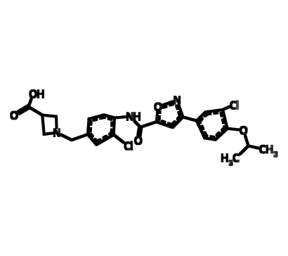 CC(C)Oc1ccc(-c2cc(C(=O)Nc3ccc(CN4CC(C(=O)O)C4)cc3Cl)on2)cc1Cl